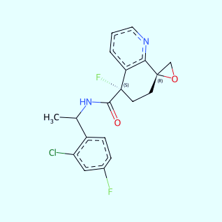 CC(NC(=O)[C@]1(F)CC[C@]2(CO2)c2ncccc21)c1ccc(F)cc1Cl